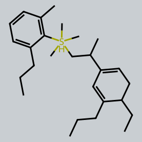 CCCC1=CC(C(C)C[SH](C)(C)(C)c2c(C)cccc2CCC)=CCC1CC